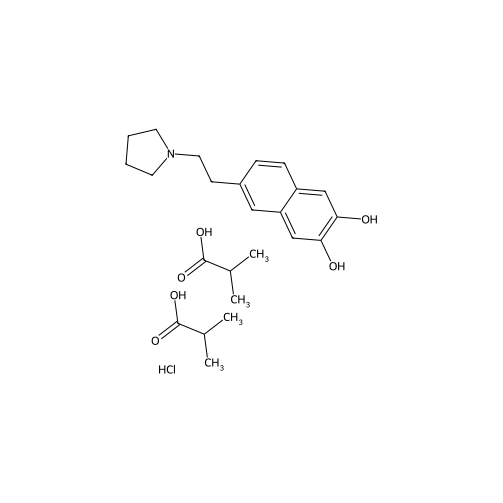 CC(C)C(=O)O.CC(C)C(=O)O.Cl.Oc1cc2ccc(CCN3CCCC3)cc2cc1O